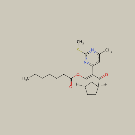 CCCCCCC(=O)OC1=C(c2cc(C)nc(SC)n2)C(=O)[C@H]2CC[C@@H]1C2